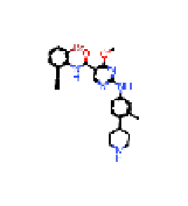 C#Cc1cccc(Br)c1NC(=O)c1cnc(Nc2ccc(C3CCNCC3)c(C)c2)nc1OC